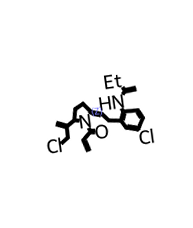 C=CC(=O)N1/C(=C\Cc2cc(Cl)ccc2NC(=C)CC)CCC1C(=C)CCl